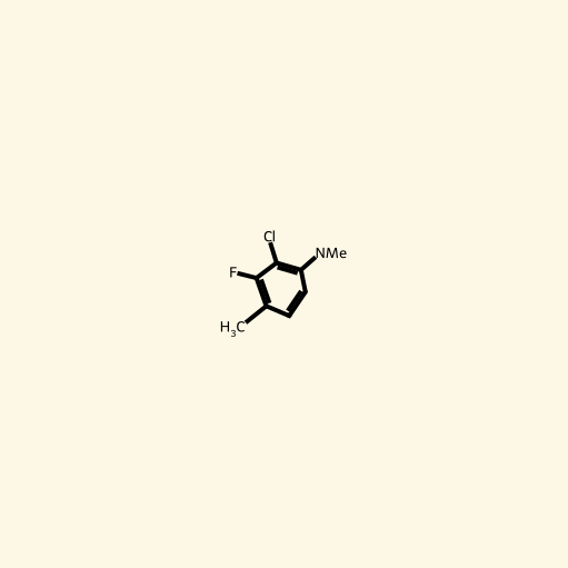 CNc1ccc(C)c(F)c1Cl